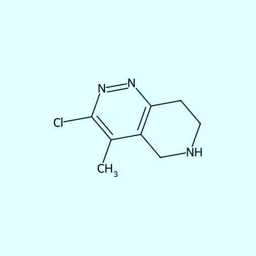 Cc1c(Cl)nnc2c1CNCC2